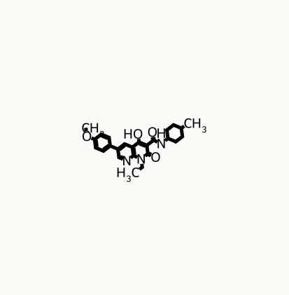 CCn1c(=O)c(C(=O)NC2CCC(C)CC2)c(O)c2cc(-c3ccc(OC)cc3)cnc21